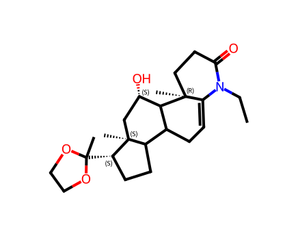 CCN1C(=O)CC[C@@]2(C)C1=CCC1C2[C@@H](O)C[C@@]2(C)C1CC[C@@H]2C1(C)OCCO1